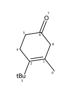 CC1=C(C(C)(C)C)CCC(=O)C1